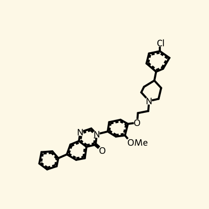 COc1cc(-n2cnc3cc(-c4ccccc4)ccc3c2=O)ccc1OCCN1CCC(c2ccc(Cl)cc2)CC1